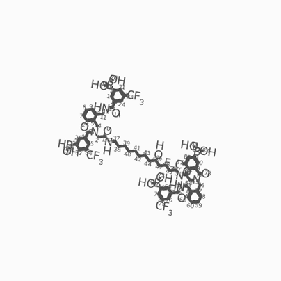 O=C(CN(Cc1ccccc1CNC(=O)c1cc(B(O)O)cc(C(F)(F)F)c1)C(=O)c1cc(BO)cc(C(F)(F)F)c1)NCCCCCCCC[C@H](O)CCCCNC(=O)CN(Cc1ccccc1CNC(=O)c1cc(B(O)O)cc(C(F)(F)F)c1)C(=O)c1cc(B(O)O)cc(C(F)(F)F)c1